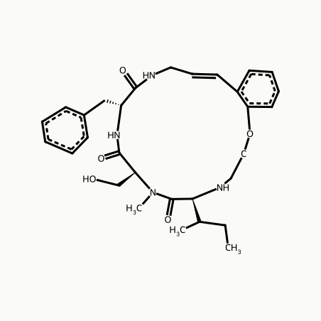 CCC(C)[C@@H]1NCCOc2ccccc2/C=C/CNC(=O)[C@@H](Cc2ccccc2)NC(=O)[C@H](CO)N(C)C1=O